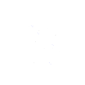 Cc1cc2n(n1)-c1cccc(NC(=O)O)c1N(C)C2